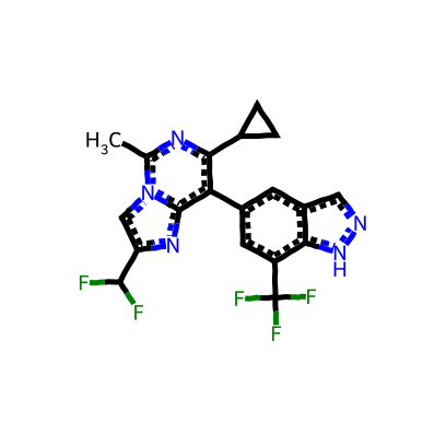 Cc1nc(C2CC2)c(-c2cc(C(F)(F)F)c3[nH]ncc3c2)c2nc(C(F)F)cn12